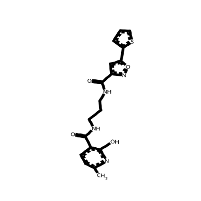 Cc1ccc(C(=O)NCCCNC(=O)c2cc(-c3cccs3)on2)c(O)n1